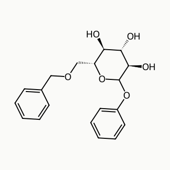 O[C@H]1[C@H](O)[C@@H](O)C(Oc2ccccc2)O[C@@H]1COCc1ccccc1